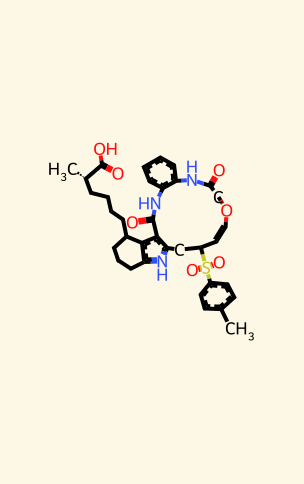 Cc1ccc(S(=O)(=O)C2C=COCC(=O)Nc3ccccc3NC(=O)c3c([nH]c4c3C(CCCC[C@H](C)C(=O)O)CCC4)C2)cc1